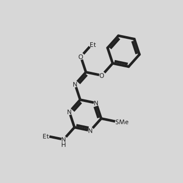 CCNc1nc(N=C(OCC)Oc2ccccc2)nc(SC)n1